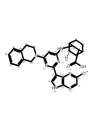 O=C(O)C1C2CCC(CC2)[C@@H]1Nc1cc(N2CCc3ccccc3C2)nc(-c2c[nH]c3ncc(Cl)nc23)n1